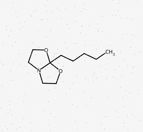 CCCCCC12OCCN1CCO2